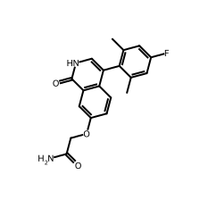 Cc1cc(F)cc(C)c1-c1c[nH]c(=O)c2cc(OCC(N)=O)ccc12